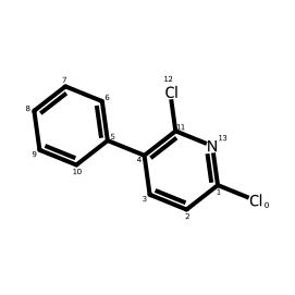 Clc1ccc(-c2ccccc2)c(Cl)n1